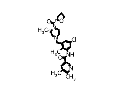 Cc1cc(C(=O)Nc2cc(Cl)cc(CN3CCN(C(=O)[C@@H]4CCCO4)[C@@H](C)C3)c2C)cnc1C